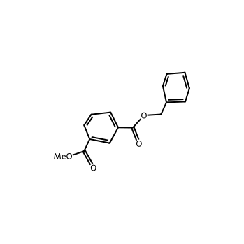 COC(=O)c1cccc(C(=O)OCc2ccccc2)c1